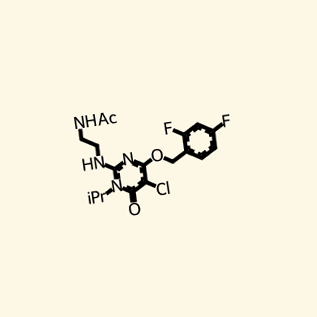 CC(=O)NCCNc1nc(OCc2ccc(F)cc2F)c(Cl)c(=O)n1C(C)C